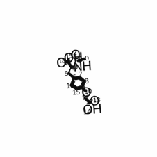 CC(=O)N[C@@H](Cc1ccc(OCC(=O)O)cc1)C(=O)O